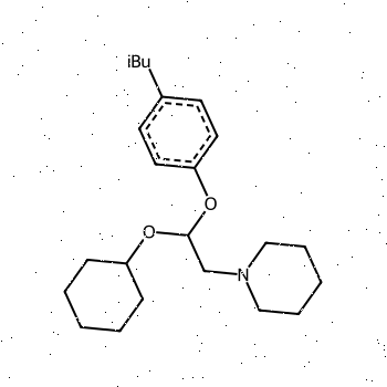 CCC(C)c1ccc(OC(CN2CCCCC2)OC2CCCCC2)cc1